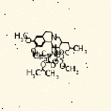 COCP(=O)(N[C@@H](C)C(=O)OC(C)C)OC1CC2c3cc(OC)c(OC)cc3CCN2CC1CC(C)C